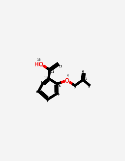 C=C(C)COc1ccccc1C(=C)O